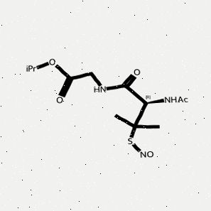 CC(=O)N[C@H](C(=O)NCC(=O)OC(C)C)C(C)(C)SN=O